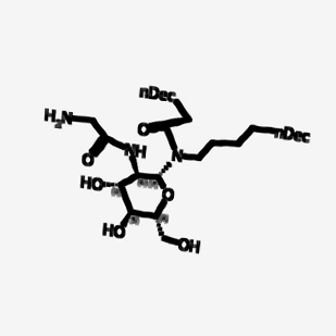 CCCCCCCCCCCCCCN(C(=O)CCCCCCCCCCC)[C@@H]1O[C@H](CO)[C@@H](O)[C@H](O)[C@H]1NC(=O)CN